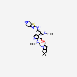 C/C(=C\C(=C/N(C)C=O)c1ccnc(N(C=O)CCn2c(C)cc3c2CC(C)(C)C3)c1CO)Nc1nc2c(s1)CNCC2